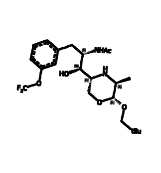 CC(=O)N[C@@H](Cc1cccc(OC(F)(F)F)c1)[C@H](O)[C@H]1CO[C@@H](OCC(C)(C)C)[C@H](C)N1